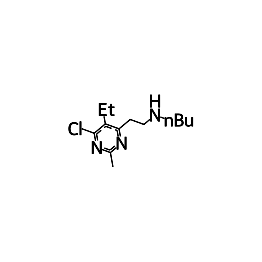 CCCCNCCc1nc(C)nc(Cl)c1CC